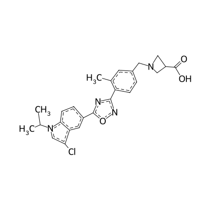 Cc1cc(CN2CC(C(=O)O)C2)ccc1-c1noc(-c2ccc3c(c2)c(Cl)cn3C(C)C)n1